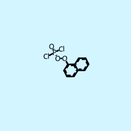 O=P(Cl)(Cl)OOc1cccc2ccccc12